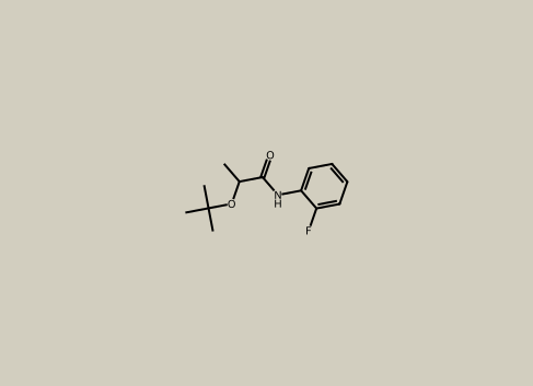 CC(OC(C)(C)C)C(=O)Nc1ccccc1F